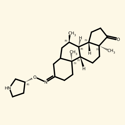 C[C@@H]1CC2CC(=NO[C@@H]3CCNC3)CC[C@]2(C)[C@H]2CC[C@]3(C)C(=O)CC[C@H]3[C@H]12